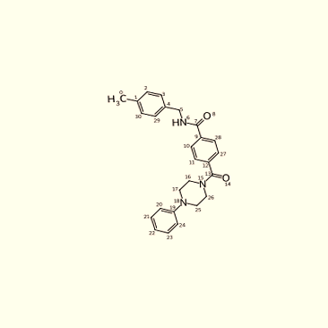 Cc1ccc(CNC(=O)c2ccc(C(=O)N3CCN(c4ccccc4)CC3)cc2)cc1